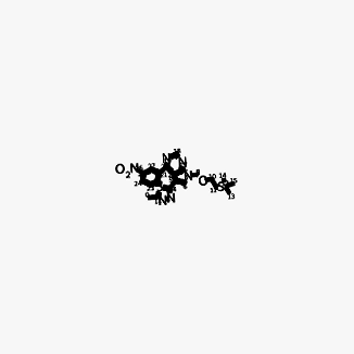 Cc1nnc(-c2cn(COCC[Si](C)(C)C)c3ncnc(-c4cccc([N+](=O)[O-])c4)c23)s1